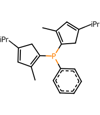 CC1=C(P(C2=C(C)C=C(C(C)C)C2)c2ccccc2)CC(C(C)C)=C1